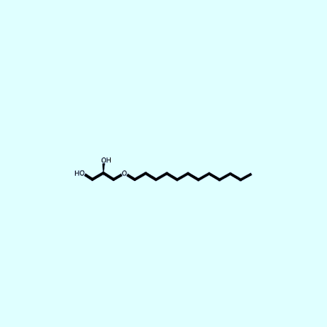 CCCCCCCCCCCCOC[C@H](O)CO